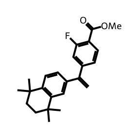 C=C(c1ccc(C(=O)OC)c(F)c1)c1ccc2c(c1)C(C)(C)CCC2(C)C